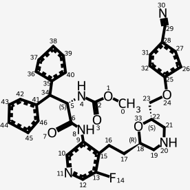 COC(=O)N[C@H](C(=O)Nc1cncc(F)c1CC[C@@H]1CNC[C@@H](COc2ccc(C#N)cc2)O1)C(c1ccccc1)c1ccccc1